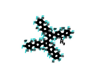 Cc1c(F)c(-c2c(F)c(-c3c(F)c(F)c(-c4c(F)c(F)c(F)c(F)c4F)c(F)c3F)c(F)c(-c3c(F)c(-c4c(F)c(F)c(-c5c(F)c(F)c(F)c(F)c5F)c(F)c4F)c(F)c(C4C(F)=C(F)C(c5c(F)c(F)c(F)c(F)c5F)=C(F)C4F)c3F)c2F)c(F)c(F)c1-c1c(F)c(F)c(F)c(F)c1F